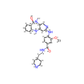 CCOc1cc(C(=O)NCCc2ccncc2)ccc1Nc1cc2c(cn1)N(C)C(=O)c1ccccc1N2C